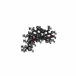 CC(C)N(C(C)C)P(OCC(C)(C)SCC(C)(C)SC(=O)C(C)(C)C)N(C(C)C)C(C)CCC(C)N(C(C)C)P(OC(C)(C)CSCC(C)(C)SC(=O)C(C)(C)C)N(C(C)C)C(C)C